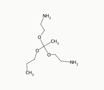 CCCOC(C)(OCCN)OCCN